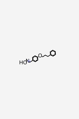 O/N=C/c1ccc(OCCCc2ccccc2)cc1